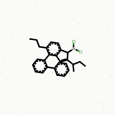 CCCc1ccc2c(c1-c1ccccc1-c1ccccc1)C=C(C(C)CC)[CH]2[Zr]([Cl])[Cl]